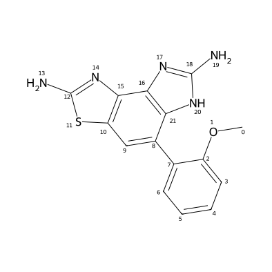 COc1ccccc1-c1cc2sc(N)nc2c2nc(N)[nH]c12